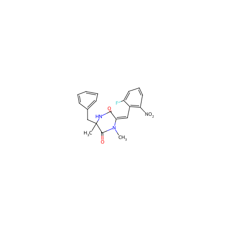 CN1C(=O)C(C)(Cc2ccccc2)NC(=O)/C1=C\c1c(F)cccc1[N+](=O)[O-]